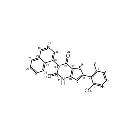 Cc1ccnc(Cl)c1-c1cc2[nH]c(=O)n(-c3cncc4ccccc34)c(=O)c2s1